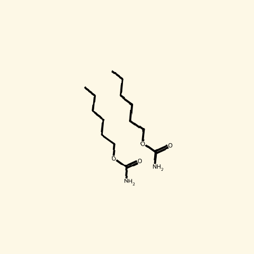 CCCCCCOC(N)=O.CCCCCCOC(N)=O